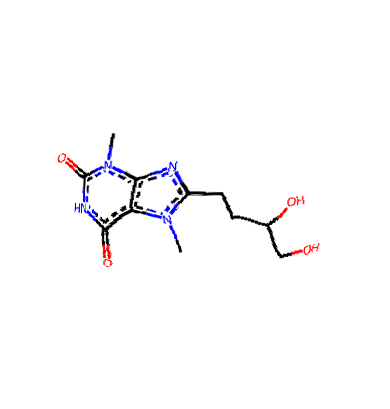 Cn1c(CCC(O)CO)nc2c1c(=O)[nH]c(=O)n2C